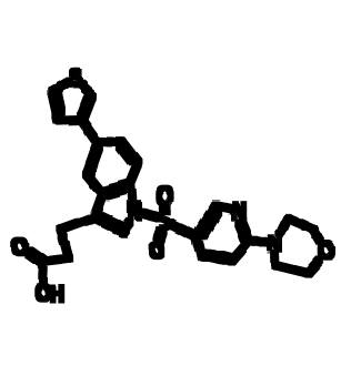 O=C(O)CCc1cn(S(=O)(=O)c2ccc(N3CCOCC3)nc2)c2ccc(-c3ccsc3)cc12